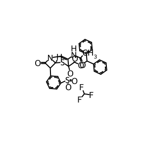 CC(=O)NC1=CN2C(=O)C3c4cccc(c4)S(=O)(=O)OC1(C(=O)OC(c1ccccc1)c1ccccc1)S[C@H]32.FC(F)F